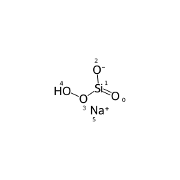 O=[Si]([O-])OO.[Na+]